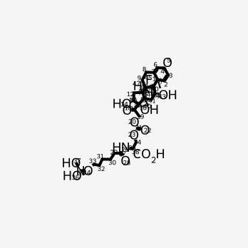 C[C@]12C=CC(=O)C=C1CC[C@H]1[C@@H]3C[C@@H](O)[C@](O)(C(=O)COC(=O)OCC(NC(=O)CCCCCON(O)O)C(=O)O)[C@@]3(C)C[C@H](O)[C@@]12F